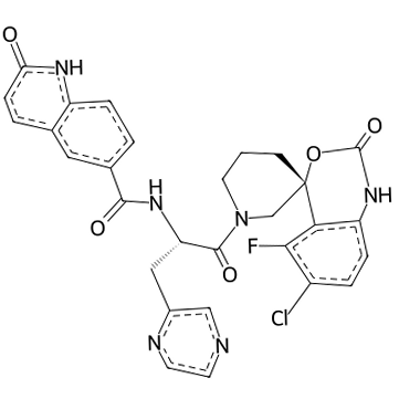 O=C1Nc2ccc(Cl)c(F)c2[C@@]2(CCCN(C(=O)[C@H](Cc3cnccn3)NC(=O)c3ccc4[nH]c(=O)ccc4c3)C2)O1